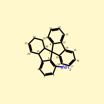 Nc1cccc2c1C1(c3ccccc3-c3ccccc31)C1CCC=CC21